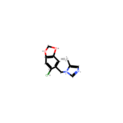 O=C(O)c1cncn1Cc1cc2c(cc1Cl)OCO2